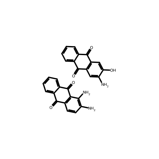 Nc1cc2c(cc1O)C(=O)c1ccccc1C2=O.Nc1ccc2c(c1N)C(=O)c1ccccc1C2=O